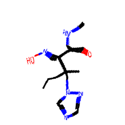 CCC(C)(/C(=N\O)C(=O)NC)n1cncn1